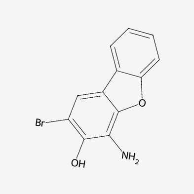 Nc1c(O)c(Br)cc2c1oc1ccccc12